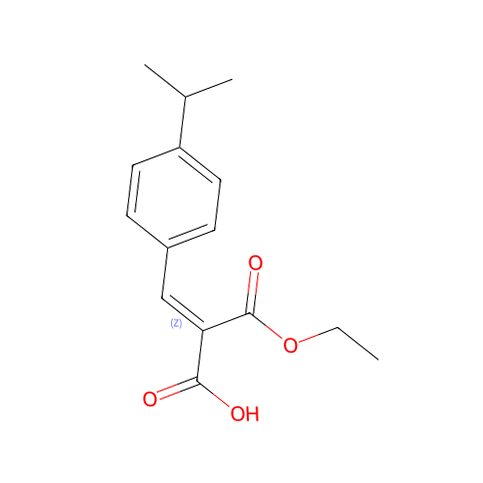 CCOC(=O)/C(=C\c1ccc(C(C)C)cc1)C(=O)O